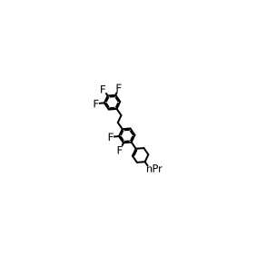 CCCC1CC=C(c2ccc(CCc3cc(F)c(F)c(F)c3)c(F)c2F)CC1